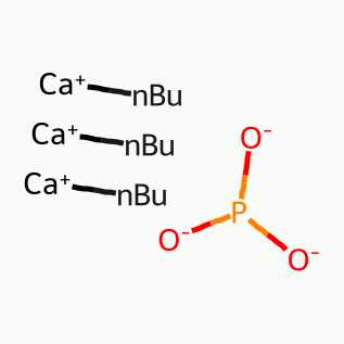 CCC[CH2][Ca+].CCC[CH2][Ca+].CCC[CH2][Ca+].[O-]P([O-])[O-]